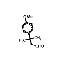 COc1ccc(C(C)(C)CC=O)cc1